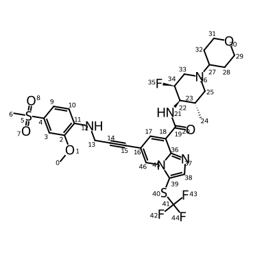 COc1cc(S(C)(=O)=O)ccc1NCC#Cc1cc(C(=O)N[C@@H]2[C@@H](C)CN(C3CCOCC3)C[C@@H]2F)c2ncc(SC(F)(F)F)n2c1